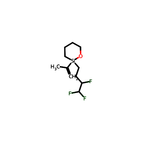 C=C(C)[Si]1(CCC(F)C(F)F)CCCCO1